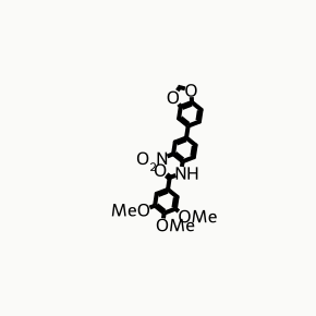 COc1cc(C(=O)Nc2ccc(-c3ccc4c(c3)OCO4)cc2[N+](=O)[O-])cc(OC)c1OC